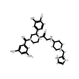 Cc1cc(C)cc(C(=O)N2CCN(C(=O)CNC3CCN(Cc4ncc[nH]4)CC3)C(c3ccc(Cl)c(Cl)c3)C2)c1